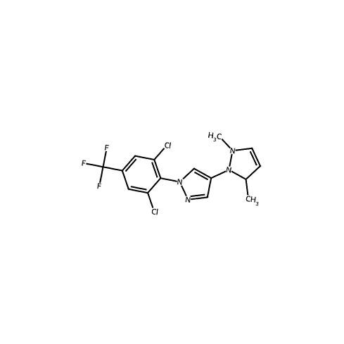 CC1C=CN(C)N1c1cnn(-c2c(Cl)cc(C(F)(F)F)cc2Cl)c1